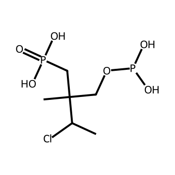 CC(Cl)C(C)(COP(O)O)CP(=O)(O)O